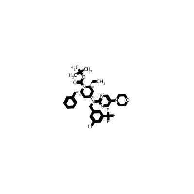 CC[C@@H]1C[C@H](N(Cc2cc(Cl)cc(C(F)(F)F)c2)c2ncc(N3CCOCC3)cn2)C[C@H](Cc2ccccc2)N1C(=O)OC(C)(C)C